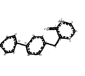 O=c1[nH]ccnc1Cc1ccc(-c2ccccc2)cc1